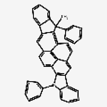 CC1(c2ccccc2)c2ccccc2-c2cc3ccc4c5c(ccc(c21)c35)cc1c2ccccc2n(-c2ccccc2)c14